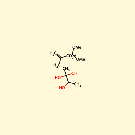 C=C(C)C(=O)O.CC(O)C(C)(O)O.COCOC